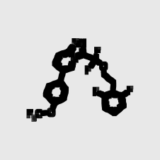 Fc1cccc(F)c1CCOC(F)(F)c1nnc2ccc(-c3ccc(OC(F)(F)F)cc3)cn12